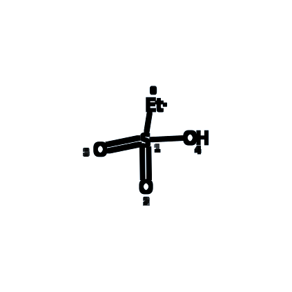 C[CH]S(=O)(=O)O